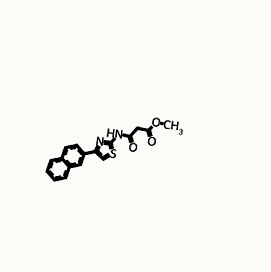 COC(=O)CC(=O)Nc1nc(-c2ccc3ccccc3c2)cs1